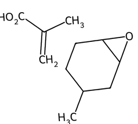 C=C(C)C(=O)O.CC1CCC2OC2C1